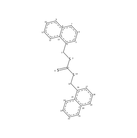 S=C(SCc1cccc2ccccc12)SCc1cccc2ccccc12